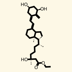 C=C1/C(=C\C=C2CCC[C@@]3(C)C2CC[C@@H]3[C@H](C)CCC[C@](C)(O)CC(=O)OCC)C[C@@H](O)C[C@H]1O